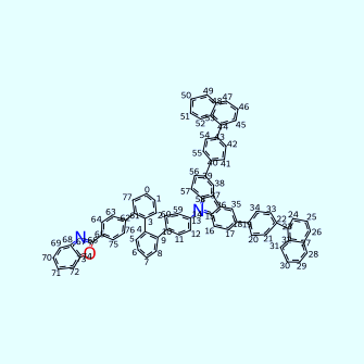 c1ccc(-c2ccccc2-c2ccc(-n3c4ccc(-c5ccc(-c6cccc7ccccc67)cc5)cc4c4cc(-c5ccc(-c6cccc7ccccc67)cc5)ccc43)cc2)c(-c2ccc(-c3nc4ccccc4o3)cc2)c1